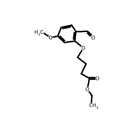 CCOC(=O)CCCOc1cc(OC)ccc1C=O